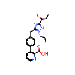 CCCn1nc(C(=O)CC)nc1Cc1ccc(-c2cccnc2C(=O)O)cc1